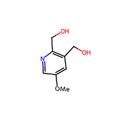 COc1cnc(CO)c(CO)c1